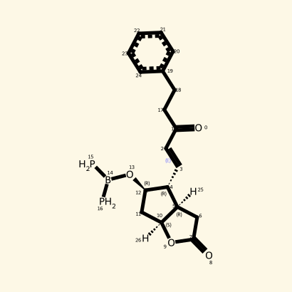 O=C(/C=C/[C@@H]1[C@H]2CC(=O)O[C@H]2C[C@H]1OB(P)P)CCc1ccccc1